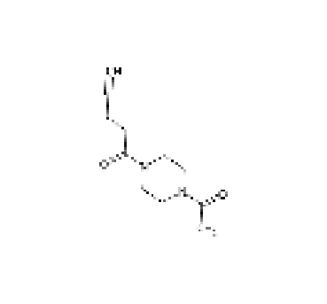 C#CCCC(=O)N1CCN(C(C)=O)CC1